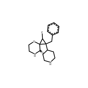 O=C1NCCOC12C(F)C2(Cc1ccccc1)C1CCNCC1